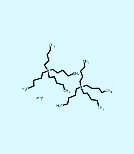 CCCCC[B-](CCCCC)(CCCCC)CCCCC.CCCCC[B-](CCCCC)(CCCCC)CCCCC.[Mg+2]